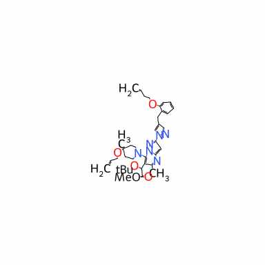 C=CCCOc1ccccc1Cc1cnn(-c2cc3nc(C)c([C@H](OC(C)(C)C)C(=O)OC)c(N4CCC(C)(OCC=C)CC4)n3n2)c1